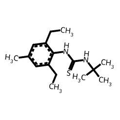 CCc1cc(C)cc(CC)c1NC(=S)NC(C)(C)C